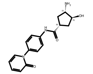 N[C@H]1C[C@@H](C(=O)Nc2ccc(-n3ccccc3=O)cc2)C[C@@H]1O